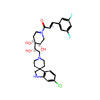 O=C(/C=C/c1cc(F)cc(F)c1)N1CC[C@](O)([C@@H](O)CN2CCC3(CC2)CNc2cc(Cl)ccc23)[C@@H](O)C1